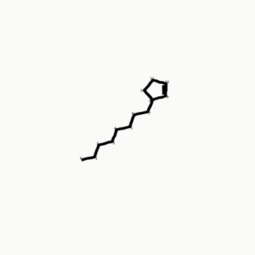 CCCCCCCCC1C=CCC1